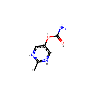 Cc1ncc(OC(N)=O)cn1